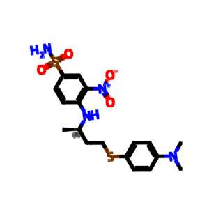 C[C@H](CCSc1ccc(N(C)C)cc1)Nc1ccc(S(N)(=O)=O)cc1[N+](=O)[O-]